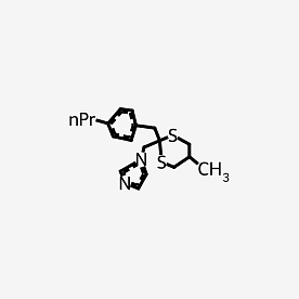 CCCc1ccc(CC2(Cn3ccnc3)SCC(C)CS2)cc1